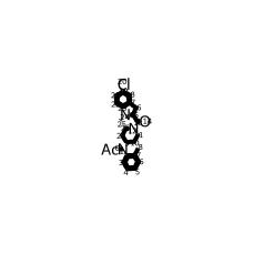 CC(=O)N(c1ccccc1C)C1CCN(C(=O)C2Cc3cc(Cl)ccc3N2C)CC1